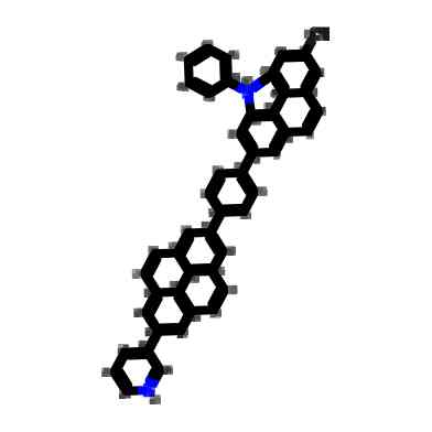 N#Cc1cc2ccc3cc(-c4ccc(-c5cc6ccc7cc(-c8cccnc8)cc8ccc(c5)c6c78)cc4)cc4c3c2c(c1)n4-c1ccccc1